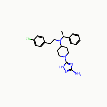 C[C@@H](c1ccccc1)N(CCc1ccc(Cl)cc1)C1CCN(c2nc(N)n[nH]2)CC1